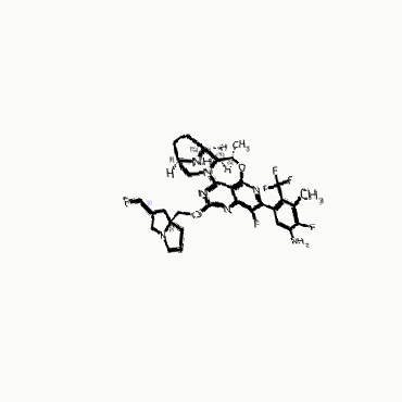 Cc1c(F)c(N)cc(-c2nc3c4c(nc(OC[C@@]56CCCN5C/C(=C\F)C6)nc4c2F)N2C[C@H]4CC[C@H](N4)[C@H]2[C@H](C)O3)c1C(F)(F)F